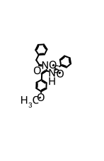 COc1ccc(-c2oc(Cc3ccccc3)nc2NS(=O)(=O)c2ccccc2)cc1